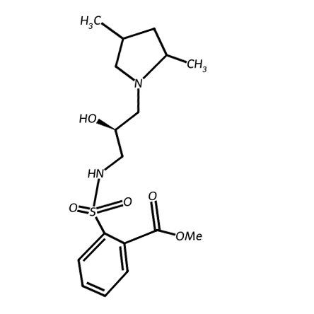 COC(=O)c1ccccc1S(=O)(=O)NC[C@@H](O)CN1CC(C)CC1C